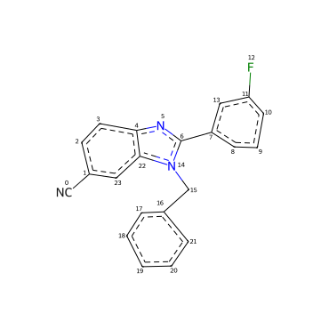 N#Cc1ccc2nc(-c3cccc(F)c3)n(Cc3ccccc3)c2c1